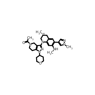 CNc1cc2c(cc1-c1cnn(C)c1)C[C@@H](C)CN2c1nn(C2CCOCC2)c2c1CN(C(C)=O)CC2